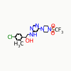 Cc1cc(Cl)ccc1C(O)CNc1cc(N2CCN(S(=O)(=O)C(F)(F)F)CC2)ncn1